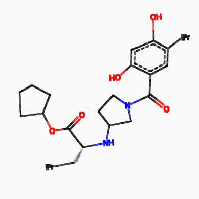 CC(C)C[C@@H](NC1CCN(C(=O)c2cc(C(C)C)c(O)cc2O)C1)C(=O)OC1CCCC1